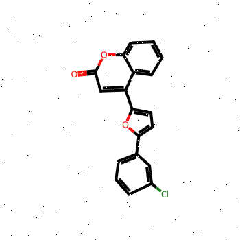 O=c1cc(-c2ccc(-c3cccc(Cl)c3)o2)c2ccccc2o1